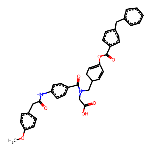 COc1ccc(CC(=O)Nc2ccc(C(=O)N(CC(=O)O)CC3C=CC(OC(=O)c4ccc(Cc5ccccc5)cc4)=CC3)cc2)cc1